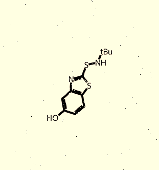 CC(C)(C)NSc1nc2cc(O)ccc2s1